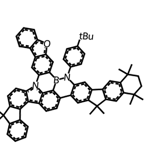 CC(C)(C)c1ccc(N2B3c4cc5oc6ccccc6c5cc4-n4c5ccc6c(c5c5ccc(c3c54)-c3cc4c(cc32)-c2cc3c(cc2C4(C)C)C(C)(C)CCC3(C)C)-c2ccccc2C6(C)C)cc1